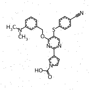 CN(C)c1cccc(COc2nc(-c3ccn(C(=O)O)c3)ncc2Sc2ccc(C#N)cc2)c1